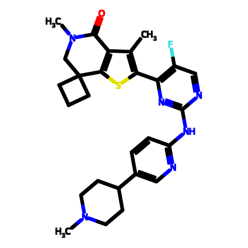 Cc1c(-c2nc(Nc3ccc(C4CCN(C)CC4)cn3)ncc2F)sc2c1C(=O)N(C)CC21CCC1